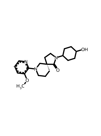 COc1c[c]cnc1N1CCC[C@@]2(CCN(C3CCC(O)CC3)C2=O)C1